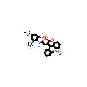 Cc1cc(C)c(NC(=O)Cc2c(-c3ccccc3C)c3cc(Cl)ccc3oc2=O)c(C)c1